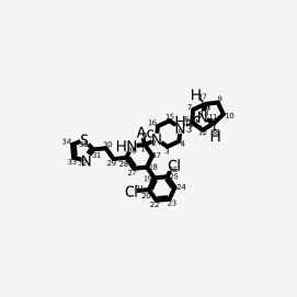 CC(=O)C1(N2CCN([C@@H]3C[C@H]4CC[C@@H](C3)N4C)CC2)CC(c2c(Cl)cccc2Cl)C=C(CCc2nccs2)N1